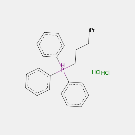 CC(C)CCC[PH](c1ccccc1)(c1ccccc1)c1ccccc1.Cl.Cl